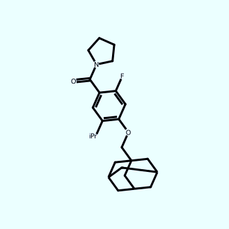 CC(C)c1cc(C(=O)N2CCCC2)c(F)cc1OCC12CC3CC(CC(C3)C1)C2